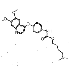 COc1cc2nccc(Oc3ccc(NC(=O)OCCCCN(C)C)cc3)c2cc1OC